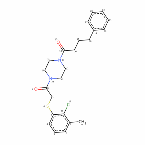 Cc1cccc(SCC(=O)N2CCN(C(=O)CCCc3ccccc3)CC2)c1Cl